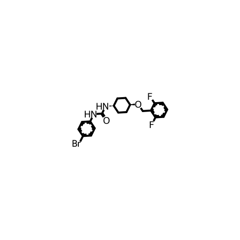 O=C(Nc1ccc(Br)cc1)N[C@H]1CC[C@H](OCc2c(F)cccc2F)CC1